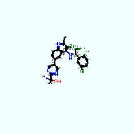 Cc1nc2ccc(-c3cnc(C(C)(O)I)nc3)cc2c(N[C@@H](c2cc(Br)ccc2F)C(F)F)c1Cl